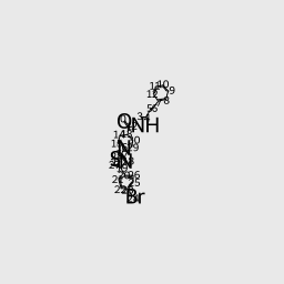 O=C(NCCCCc1ccccc1)C1CCN(c2nc(-c3ccc(Br)cc3)cs2)CC1